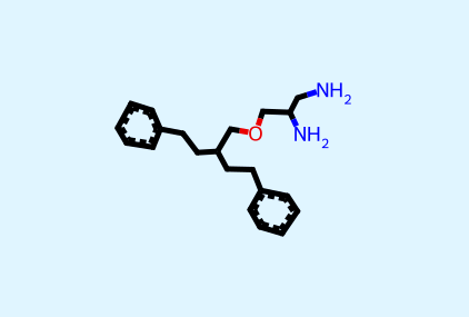 NCC(N)COCC(CCc1ccccc1)CCc1ccccc1